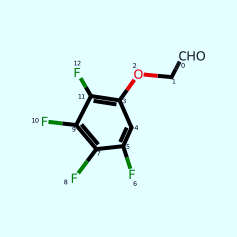 O=CCOc1cc(F)c(F)c(F)c1F